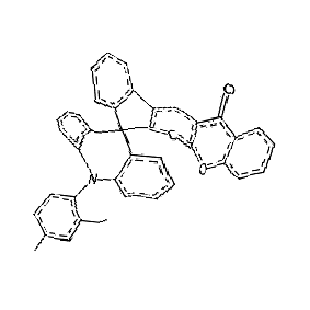 Cc1ccc(N2c3ccccc3C3(c4ccccc4-c4cc5c(=O)c6ccccc6oc5cc43)c3ccccc32)c(C)c1